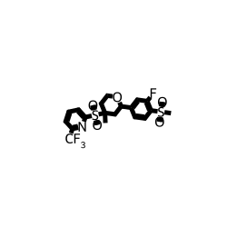 CC1(S(=O)(=O)c2cccc(C(F)(F)F)n2)CCOC(c2ccc(S(C)(=O)=O)c(F)c2)C1